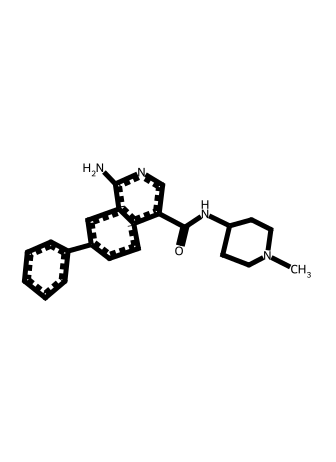 CN1CCC(NC(=O)c2cnc(N)c3cc(-c4ccccc4)ccc23)CC1